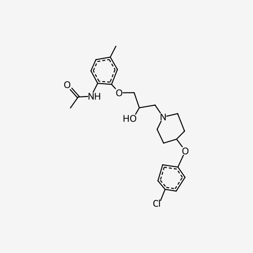 CC(=O)Nc1ccc(C)cc1OCC(O)CN1CCC(Oc2ccc(Cl)cc2)CC1